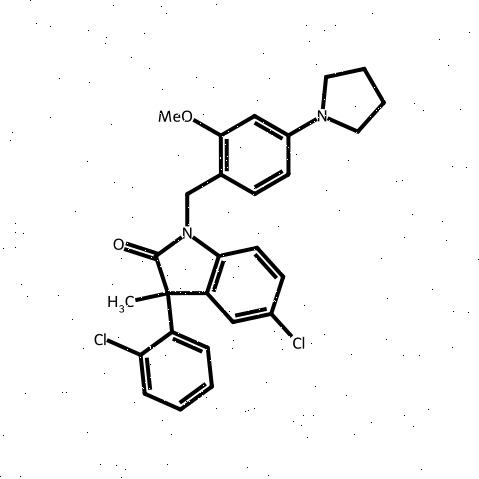 COc1cc(N2CCCC2)ccc1CN1C(=O)C(C)(c2ccccc2Cl)c2cc(Cl)ccc21